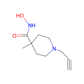 C#CCN1CCC(C)(C(=O)NO)CC1